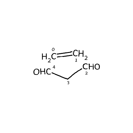 C=C.O=CCC=O